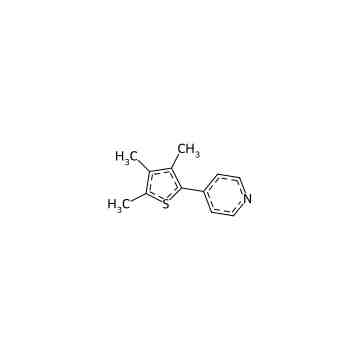 Cc1sc(-c2ccncc2)c(C)c1C